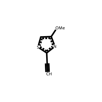 C#Cc1nc(OC)cs1